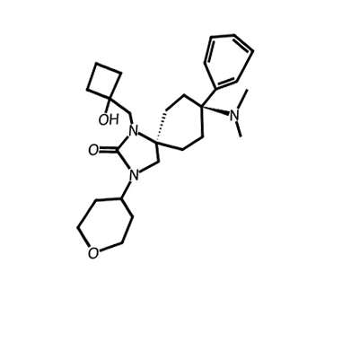 CN(C)[C@]1(c2ccccc2)CC[C@]2(CC1)CN(C1CCOCC1)C(=O)N2CC1(O)CCC1